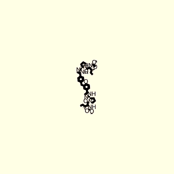 CC[C@H](C)[C@H](NC(=O)OC)C(=O)N1CCC[C@H]1c1ncc(-c2ccc3c(c2)Cc2ccc(-c4cnc([C@@H]5CCCN5C(=O)[C@@H](NC(=O)OC)[C@@H](C)CC)[nH]4)cc2O3)[nH]1